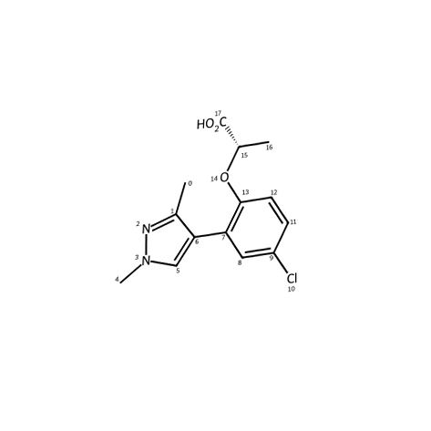 Cc1nn(C)cc1-c1cc(Cl)ccc1O[C@@H](C)C(=O)O